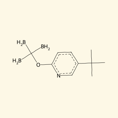 BC(B)(B)Oc1ccc(C(C)(C)C)cn1